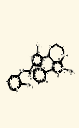 Cc1ncccc1NC(=O)c1cc(C2SCCNc3c2c(-c2ccccn2)nn3C)c(C)s1